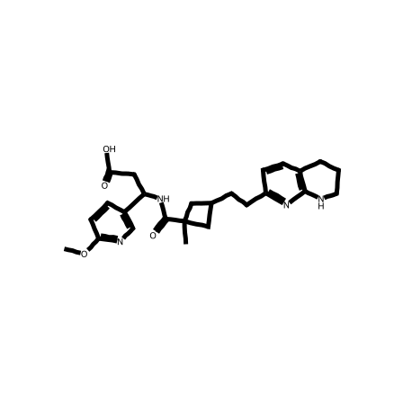 COc1ccc(C(CC(=O)O)NC(=O)C2(C)CC(CCc3ccc4c(n3)NCCC4)C2)cn1